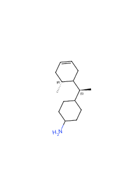 C[C@@H](C1CCC(N)CC1)C1CC=CC[C@H]1C